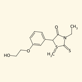 C=S1C(=S)N(CC)C(=O)C1c1cccc(OCCO)c1